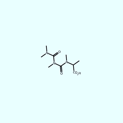 CC(C(=O)O)N(C)C(=O)N(C)C(=O)N(C)C